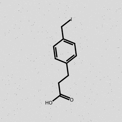 O=C(O)CCc1ccc(CI)cc1